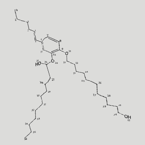 CCCC/C=C/c1ccc(OCCCCCCCCCCCO)c(OC(O)CCCCCCCCCC)c1